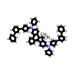 CC1(C)c2cc(N(c3ccccc3)c3ccc(-c4cccc(-c5ccccc5)c4)cc3)ccc2-c2c1c1ccc(N(c3ccccc3)c3ccc(-c4cccc(-c5ccccc5)c4)cc3)cc1c1ccccc21